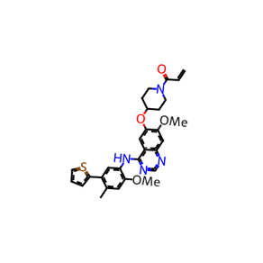 C=CC(=O)N1CCC(Oc2cc3c(Nc4cc(-c5cccs5)c(C)cc4OC)ncnc3cc2OC)CC1